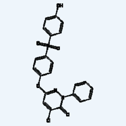 O=c1c(Cl)cc(Oc2ccc(S(=O)(=O)c3ccc(O)cc3)cc2)nn1-c1ccccc1